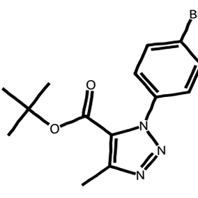 Cc1nnn(-c2ccc(Br)cc2)c1C(=O)OC(C)(C)C